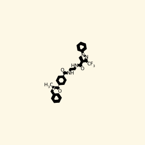 CN(Cc1ccccc1)C(=O)[C@H]1CC[C@H](C(=O)NCCNC(=O)c2cn(-c3ccccc3)nc2C(F)(F)F)CC1